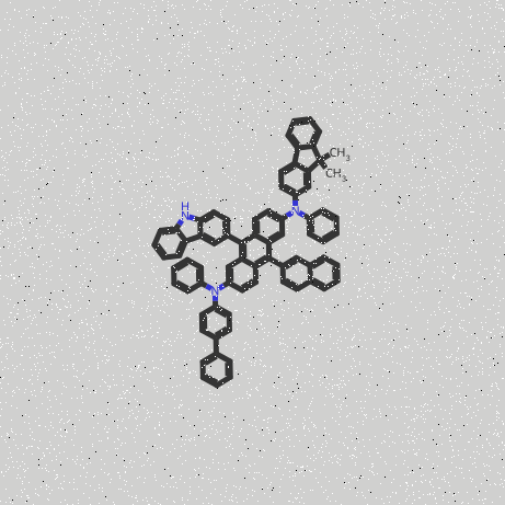 CC1(C)c2ccccc2-c2ccc(N(c3ccccc3)c3ccc4c(-c5ccc6[nH]c7ccccc7c6c5)c5cc(N(c6ccccc6)c6ccc(-c7ccccc7)cc6)ccc5c(-c5ccc6ccccc6c5)c4c3)cc21